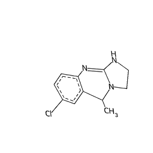 CC1c2cc(Cl)ccc2N=C2NCCN21